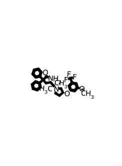 COc1cc(O[C@@H]2CCN(C(C)(C)CCC(C(N)=O)(c3ccccc3)c3ccccc3)C2)cc(C(F)(F)F)c1